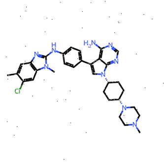 Cc1cc2nc(Nc3ccc(-c4cn([C@H]5CC[C@@H](N6CCN(C)CC6)CC5)c5ncnc(N)c45)cc3)n(C)c2cc1Cl